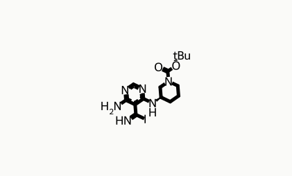 CC(C)(C)OC(=O)N1CCC[C@@H](Nc2ncnc(N)c2C(=N)I)C1